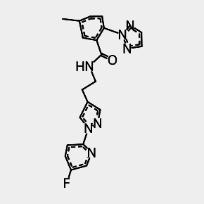 Cc1ccc(-n2nccn2)c(C(=O)NCCc2cnn(-c3ccc(F)cn3)c2)c1